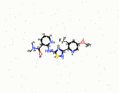 CC(C)Oc1cnc(-c2nsc(Nc3ncccc3C(=O)N(C)C)n2)c(C(F)(F)F)c1